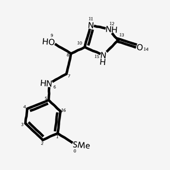 CSc1cccc(NCC(O)c2n[nH]c(=O)[nH]2)c1